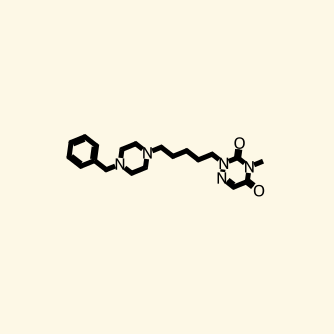 Cn1c(=O)cnn(CCCCCN2CCN(Cc3ccccc3)CC2)c1=O